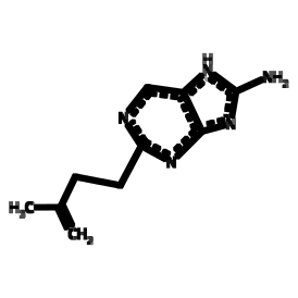 C=C(C)CCc1ncc2[nH]c(N)nc2n1